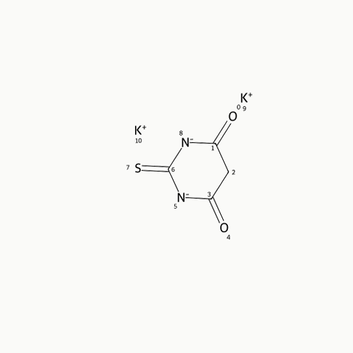 O=C1CC(=O)[N-]C(=S)[N-]1.[K+].[K+]